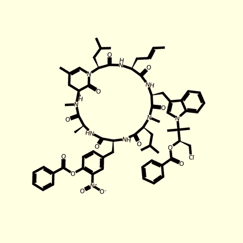 C/C=C/C[C@@H]1NC(=O)[C@H](CC(C)C)N2C=C(C)C[C@@H](C2=O)N(C)C(=O)[C@H](C)NC(=O)[C@H](Cc2ccc(OC(=O)c3ccccc3)c([N+](=O)[O-])c2)NC(=O)[C@H](CC(C)C)N(C)C(=O)[C@H](Cc2cn(C(C)(C)[C@@H](CCl)OC(=O)c3ccccc3)c3ccccc23)NC1=O